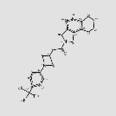 O=C(CC1CN(c2ccc(C(F)(F)F)nc2)C1)N1Cc2nnc3c(c2C1)CCCC3